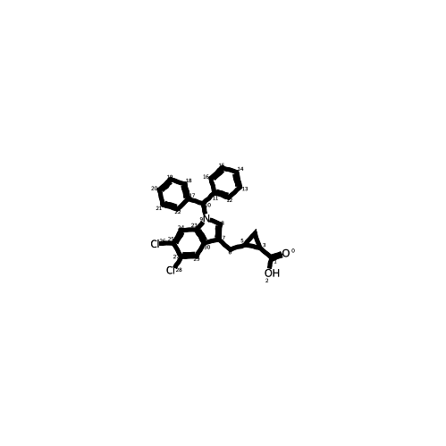 O=C(O)C1CC1Cc1cn(C(c2ccccc2)c2ccccc2)c2cc(Cl)c(Cl)cc12